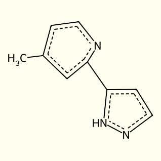 Cc1ccnc(-c2ccn[nH]2)c1